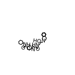 O=C(NC1CCCCC1)c1ccc2nc(C(=O)NC[C@H](O)CN3CCc4ccccc4C3)cn2c1